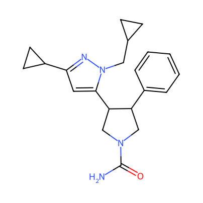 NC(=O)N1CC(c2ccccc2)C(c2cc(C3CC3)nn2CC2CC2)C1